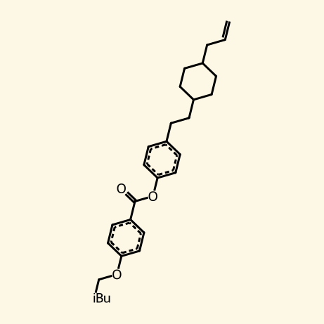 C=CCC1CCC(CCc2ccc(OC(=O)c3ccc(OCC(C)CC)cc3)cc2)CC1